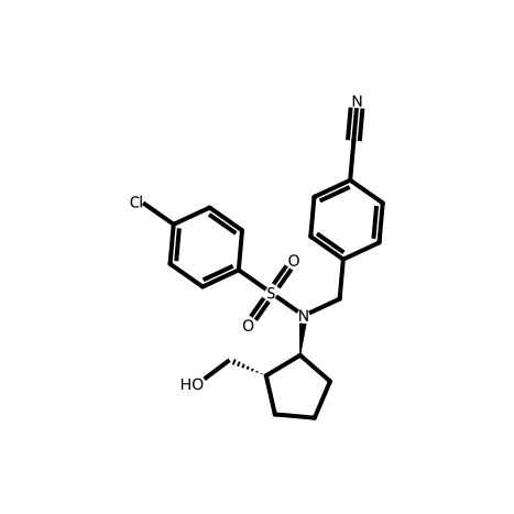 N#Cc1ccc(CN([C@H]2CCC[C@@H]2CO)S(=O)(=O)c2ccc(Cl)cc2)cc1